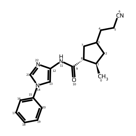 C[C@@H]1CC(CCC#N)C[C@H]1C(=O)Nc1cn(-c2ccccc2)cn1